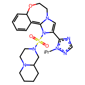 CC(C)n1ncnc1C1=CN2CCOC3C=CC=CC3=C2N1S(=O)(=O)N1CCN2CCCCC2C1